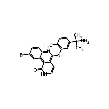 Cc1ccc(C(C)(C)N)cc1Nc1nc2ccc(Br)cc2c2c(=O)[nH]ccc12